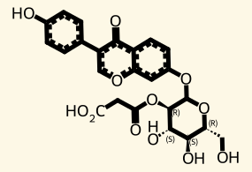 O=C(O)CC(=O)O[C@H]1C(Oc2ccc3c(=O)c(-c4ccc(O)cc4)coc3c2)O[C@H](CO)[C@@H](O)[C@@H]1O